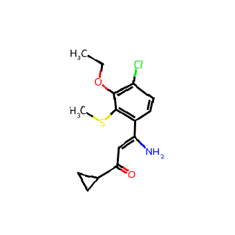 CCOc1c(Cl)ccc(C(N)=CC(=O)C2CC2)c1SC